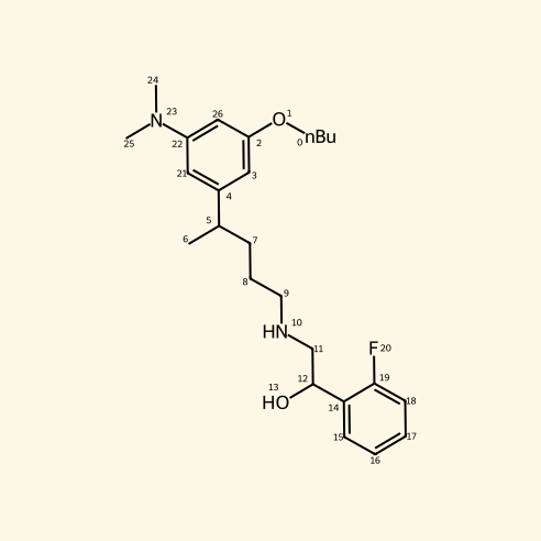 CCCCOc1cc(C(C)CCCNCC(O)c2ccccc2F)cc(N(C)C)c1